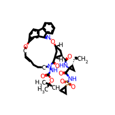 C=C[C@@H]1C[C@]1(NC(=O)[C@@H]1C[C@@H]2C[C@H]1C(=O)N(NC(=O)OC(C)(C)C)CCC/C=C/COc1ccc3c(c1)/C(=N/O2)c1ccccc1-3)C(=O)NS(=O)(=O)C1CC1